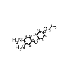 CCCOc1ccc(Oc2ccc(N)c(N)c2)cc1